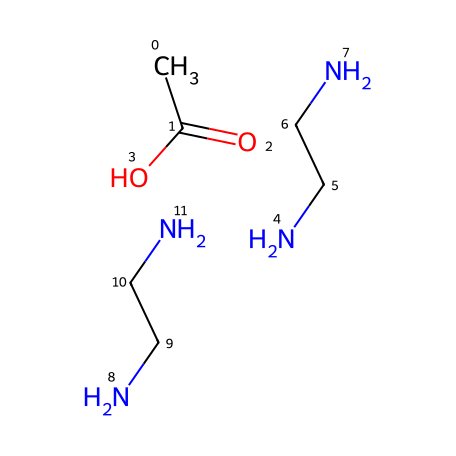 CC(=O)O.NCCN.NCCN